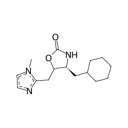 Cn1ccnc1CC1OC(=O)N[C@H]1CC1CCCCC1